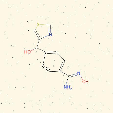 N/C(=N\O)c1ccc(C(O)c2cscn2)cc1